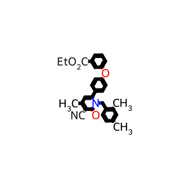 CCOC(=O)c1cccc(Oc2ccc(-c3cc(C)c(C#N)c(=O)n3Cc3ccc(C)cc3C)cc2)c1